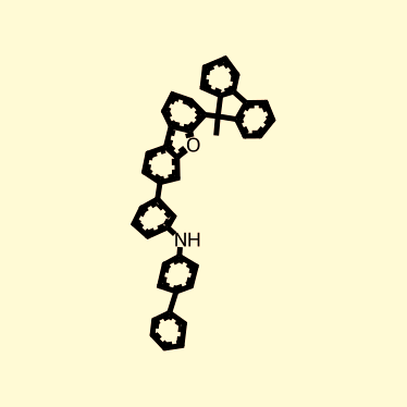 CC1(c2cccc3c2oc2cc(-c4cccc(Nc5ccc(-c6ccccc6)cc5)c4)ccc23)c2ccccc2-c2ccccc21